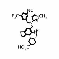 [C-]#[N+]c1cc(CN(Cc2cc3c(cc2N(CC)C[C@H]2CC[C@H](C(=O)O)CC2)CCC3)c2ccn(C)n2)cc(C(F)(F)F)c1